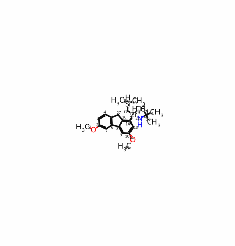 COc1ccc2c(c1)-c1cc(OC)c[c]([Zr]([CH3])([CH2][SiH](C)C)[NH]C(C)(C)C)c1C2